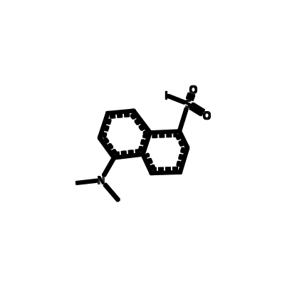 CN(C)c1cccc2c(S(=O)(=O)I)cccc12